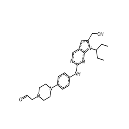 CCC(CC)n1c(CO)cc2cnc(Nc3ccc(N4CCN(CC=O)CC4)cc3)nc21